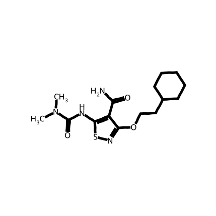 CN(C)C(=O)Nc1snc(OCCC2CCCCC2)c1C(N)=O